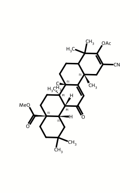 COC(=O)[C@]12CCC(C)(C)C[C@H]1[C@H]1C(=O)C=C3[C@@]4(C)CC(C#N)=C(OC(C)=O)C(C)(C)C4CC[C@@]3(C)[C@]1(C)CC2